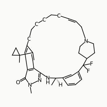 C[C@H]1Nc2nn(C)c(=O)c3cc(c(C4(C)CC4)cc23)CCCCCC/C=C\CN2CCC(CC2)C(F)(F)c2cccc1c2